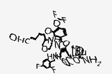 CC(C)(C)C(C)(OC(N)=O)c1oc(-c2ccc(OC(F)F)c(OC(CCCC=O)C3COCCN3)c2)nc1C(=O)NCc1ccc(F)cc1F